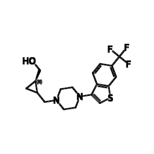 OC[C@@H]1CC1CN1CCN(c2csc3cc(C(F)(F)F)ccc23)CC1